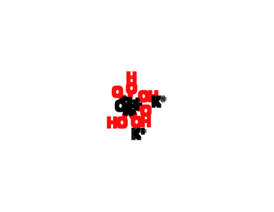 [K+].[K+].[O]=[Os-2](=[O])([OH])([OH])([OH])[OH]